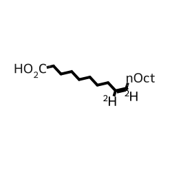 [2H]/C(CCCCCCCC)=C(\[2H])CCCCCCCC(=O)O